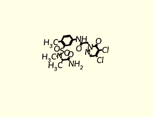 Cc1ccc(NC(=O)Cn2ncc(Cl)c(Cl)c2=O)cc1S(=O)(=O)N(C)[C@H](C)C(N)=O